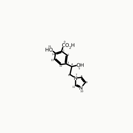 O=C(O)c1cc(C(O)Cn2ccnc2)ccc1O